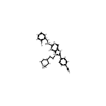 N#Cc1ccc(-c2nc3cnc(NCc4ccccc4F)nc3n2CCC2CCNCC2)cc1